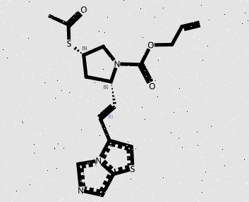 C=CCOC(=O)N1C[C@@H](SC(C)=O)C[C@H]1/C=C/c1csc2cncn12